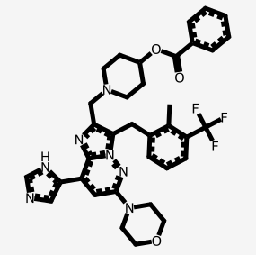 Cc1c(Cc2c(CN3CCC(OC(=O)c4ccccc4)CC3)nc3c(-c4cnc[nH]4)cc(N4CCOCC4)nn23)cccc1C(F)(F)F